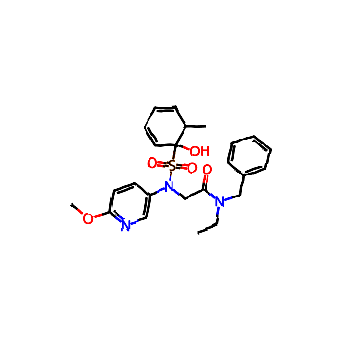 CCN(Cc1ccccc1)C(=O)CN(c1ccc(OC)nc1)S(=O)(=O)C1(O)C=CC=CC1C